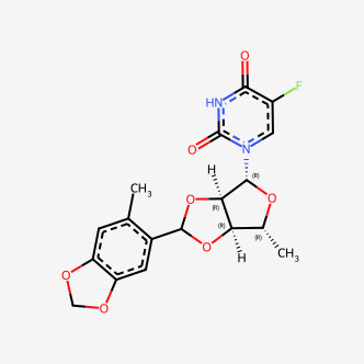 Cc1cc2c(cc1C1O[C@@H]3[C@H](O1)[C@@H](C)O[C@H]3n1cc(F)c(=O)[nH]c1=O)OCO2